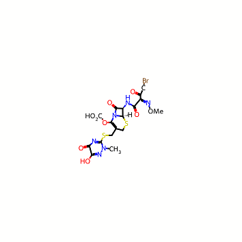 CO/N=C(/C(=O)CBr)C(=O)N[C@@H]1C(=O)N2C(OC(=O)O)=C(CSc3nc(=O)c(O)nn3C)CS[C@H]12